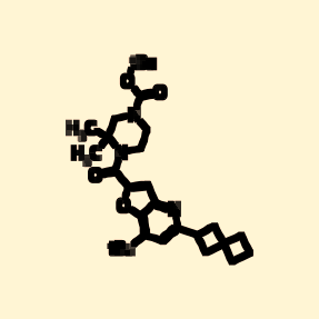 CC(C)(C)OC(=O)N1CCN(C(=O)c2cc3nc(C4CC5(CCC5)C4)cc(C(C)(C)C)c3o2)C(C)(C)C1